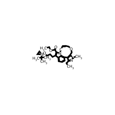 CCOC(=O)c1c(CCCO[Si]2(C(C)(C)C)CC2)c2cccc3c2n1C/C=C\COCc1c-3c(CC)nn1C